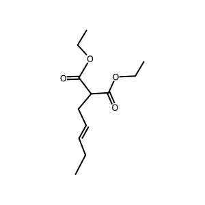 CC/C=C/CC(C(=O)OCC)C(=O)OCC